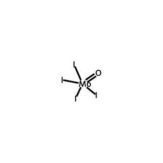 [O]=[Mo]([I])([I])([I])[I]